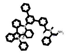 CN(/C(=C\N)c1ccccc1)C(I)c1cccc(-c2cc(-c3ccccc3)cc(N3c4ccccc4-c4c(n(-c5ccccc5)c5ccccc45)[C@H]4CCC=CC43)c2)c1